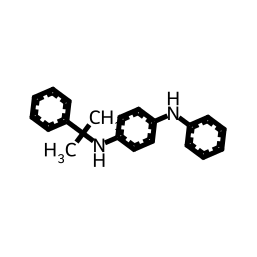 CC(C)(Nc1ccc(Nc2ccccc2)cc1)c1ccccc1